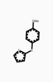 COc1ccc(Sc2cccs2)cc1